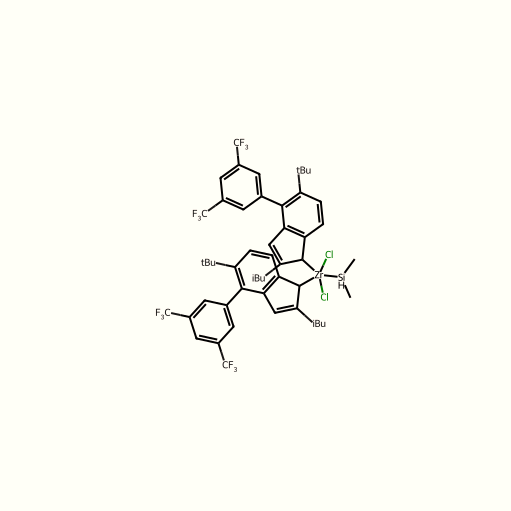 CCC(C)C1=Cc2c(ccc(C(C)(C)C)c2-c2cc(C(F)(F)F)cc(C(F)(F)F)c2)[CH]1[Zr]([Cl])([Cl])([CH]1C(C(C)CC)=Cc2c1ccc(C(C)(C)C)c2-c1cc(C(F)(F)F)cc(C(F)(F)F)c1)[SiH](C)C